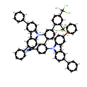 N#Cc1ccc(-n2c3ccc(-c4ccccc4)cc3c3cc(-c4ccccc4)ccc32)c(-c2ccc(-c3ccc(C(F)(F)F)cc3C(F)(F)F)cc2-n2c3ccc(-c4ccccc4)cc3c3cc(-c4ccccc4)ccc32)c1